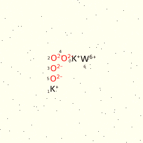 [K+].[K+].[O-2].[O-2].[O-2].[O-2].[W+6]